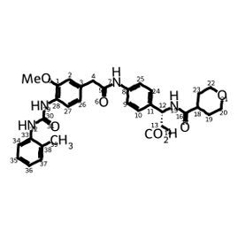 COc1cc(CC(=O)Nc2ccc([C@@H](CC(=O)O)NC(=O)C3CCOCC3)cc2)ccc1NC(=O)Nc1ccccc1C